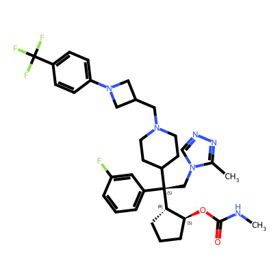 CNC(=O)O[C@H]1CCC[C@@H]1[C@](Cn1cnnc1C)(c1cccc(F)c1)C1CCN(CC2CN(c3ccc(C(F)(F)F)cc3)C2)CC1